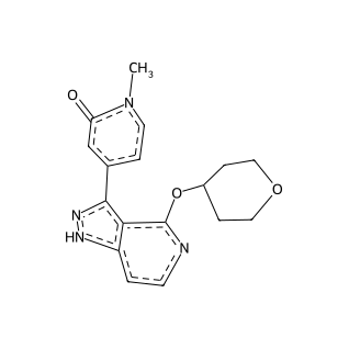 Cn1ccc(-c2n[nH]c3ccnc(OC4CCOCC4)c23)cc1=O